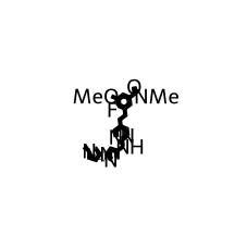 CNC(=O)c1cc(CCc2cnc(Nc3cnn([C@H]4CCN(C)C4)c3)nc2)c(F)c(OC)c1